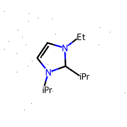 CCN1C=CN(C(C)C)C1C(C)C